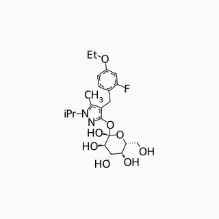 CCOc1ccc(Cc2c(O[C@]3(O)O[C@H](CO)[C@@H](O)[C@H](O)[C@H]3O)nn(C(C)C)c2C)c(F)c1